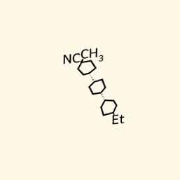 CC[C@H]1CC[C@H](C2CCC([C@H]3CC[C@](C)(C#N)CC3)CC2)CC1